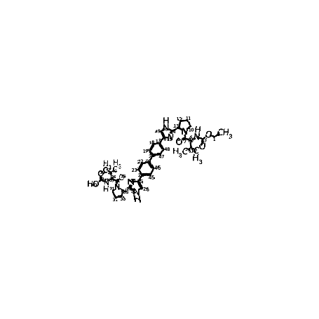 CCOC(=O)N[C@H](C(=O)N1CCCC1c1nc(-c2ccc(-c3ccc(-c4c[nH]c([C@@H]5CCCN5C(=O)[C@@H](NC(=O)O)C(C)C)n4)cc3)cc2)c[nH]1)C(C)C